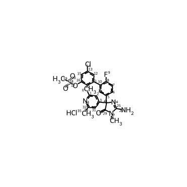 Cc1cc(C2(c3ccc(F)c(-c4cc(Cl)cc(OS(C)(=O)=O)c4)c3)N=C(N)N(C)C2=O)cc(C)n1.Cl